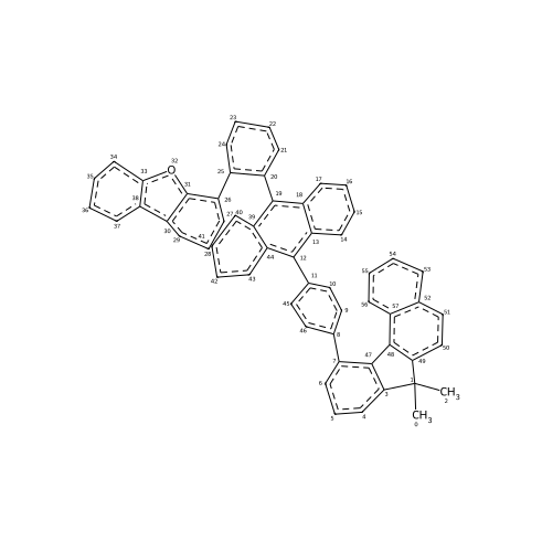 CC1(C)c2cccc(-c3ccc(-c4c5ccccc5c(-c5ccccc5-c5cccc6c5oc5ccccc56)c5ccccc45)cc3)c2-c2c1ccc1ccccc21